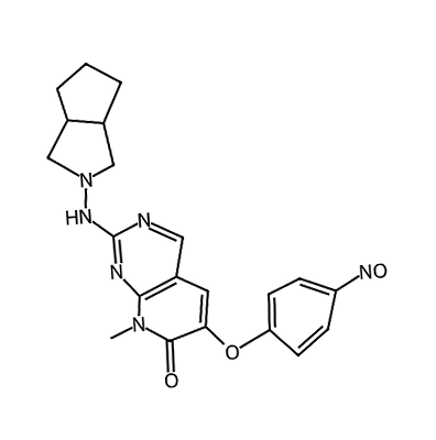 Cn1c(=O)c(Oc2ccc(N=O)cc2)cc2cnc(NN3CC4CCCC4C3)nc21